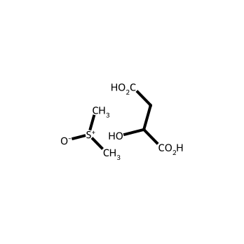 C[S+](C)[O-].O=C(O)CC(O)C(=O)O